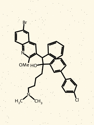 COc1nc2ccc(Br)cc2cc1C(c1ccccc1)C(O)(CCCCN(C)C)c1cccc(-c2ccc(Cl)cc2)c1